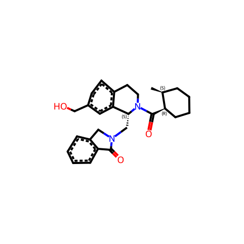 C[C@H]1CCCC[C@H]1C(=O)N1CCc2ccc(CO)cc2[C@H]1CN1Cc2ccccc2C1=O